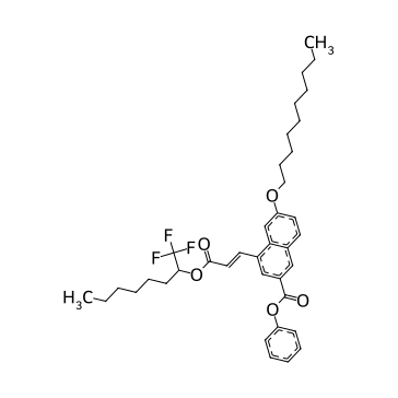 CCCCCCCCCCOc1ccc2cc(C(=O)Oc3ccccc3)cc(C=CC(=O)OC(CCCCCC)C(F)(F)F)c2c1